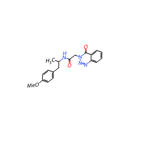 COc1ccc(CC(C)NC(=O)Cn2nnc3ccccc3c2=O)cc1